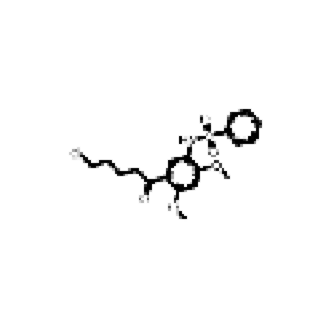 COc1cc(OC)c(C(=O)CCCCCl)cc1NS(=O)(=O)c1ccccc1